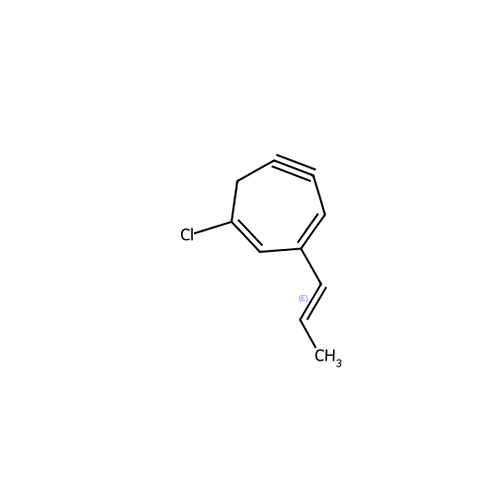 C/C=C/C1=CC#CCC(Cl)=C1